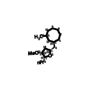 CCC[C@H]1O[C@@H](C[C@@H]2CCCCCC(C)C2)C[C@H]1OC